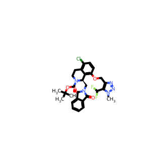 Cn1nnc(COc2ccc(Cl)c3c2[C@@H](CN2C(=O)c4ccccc4C2=O)N(C(=O)OC(C)(C)C)CC3)c1C(F)F